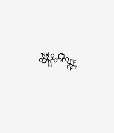 CCC(CC)(NC(=O)Oc1cccc(OCC(F)(F)C(F)(F)F)n1)C(=O)NC